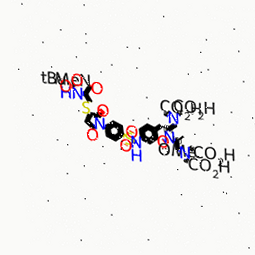 CNC(=O)C(CSC1CC(=O)N(c2ccc(S(=O)(=O)Nc3ccc(C[C@H](CN(CC(=O)O)CC(=O)O)N(OOC)[C@@H](C)CN(CC(=O)O)CC(=O)O)cc3)cc2)C1=O)NC(=O)OC(C)(C)C